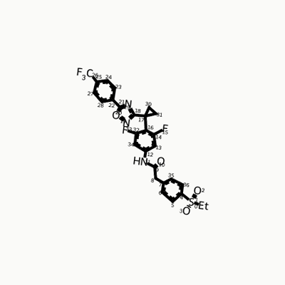 CCS(=O)(=O)c1ccc(CC(=O)Nc2cc(F)c(C3(c4noc(-c5ccc(C(F)(F)F)cc5)n4)CC3)c(F)c2)cc1